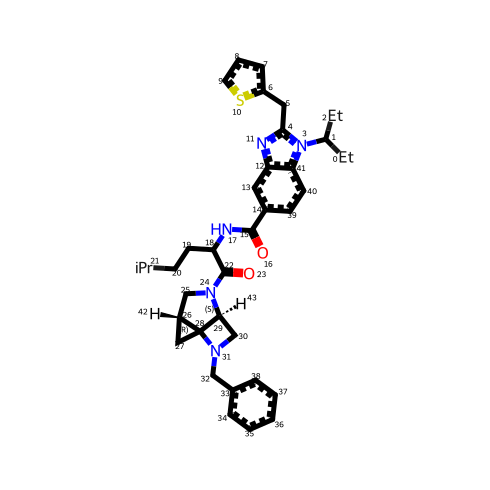 CCC(CC)n1c(Cc2cccs2)nc2cc(C(=O)NC(CCC(C)C)C(=O)N3C[C@H]4CC45[C@@H]3CN5Cc3ccccc3)ccc21